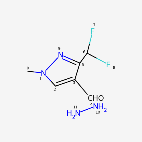 Cn1cc(C=O)c(C(F)F)n1.NN